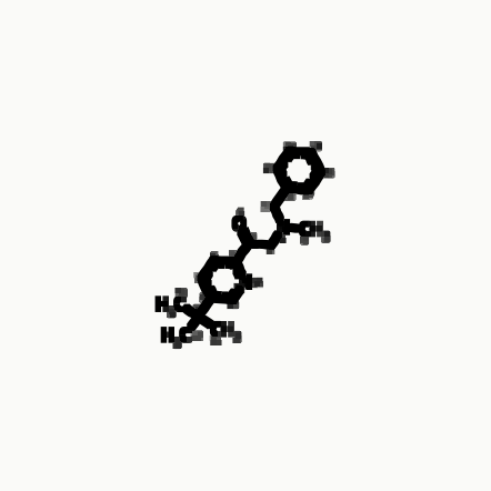 CN(CC(=O)c1ccc(C(C)(C)C)cn1)Cc1ccccc1